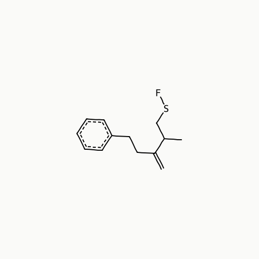 C=C(CCc1ccccc1)C(C)CSF